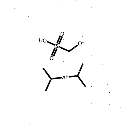 C[CH](C)[Al+][CH](C)C.O=S(=O)(O)C[O-]